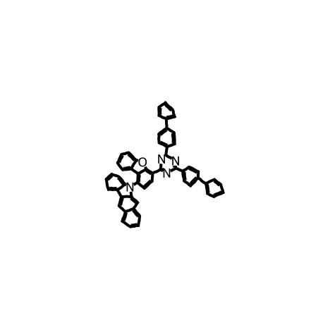 c1ccc(-c2ccc(-c3nc(-c4ccc(-c5ccccc5)cc4)nc(-c4ccc(-n5c6ccccc6c6cc7ccccc7cc65)c5c4oc4ccccc45)n3)cc2)cc1